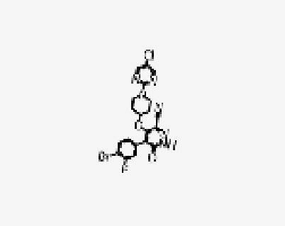 N#Cc1n[nH]c(=O)c(-c2ccc(Br)c(F)c2)c1OC1CCN(c2ncc(Cl)cn2)CC1